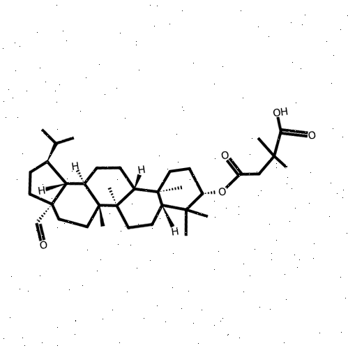 CC(C)[C@@H]1CC[C@]2(C=O)CC[C@]3(C)[C@H](CC[C@@H]4[C@@]5(C)CC[C@H](OC(=O)CC(C)(C)C(=O)O)C(C)(C)[C@@H]5CC[C@]43C)[C@@H]12